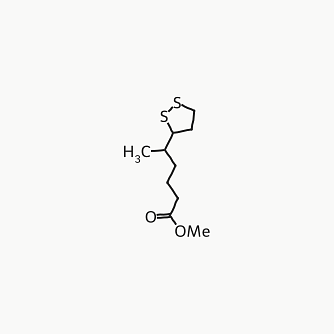 COC(=O)CCCC(C)C1CCSS1